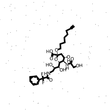 C#CCCCCCCO[C@]1(C(=O)O)C[C@H](O)[C@@H](NC(=O)CO)[C@H]([C@H](O)[C@H](O)CNC(=O)C(F)(F)c2ccccc2)O1